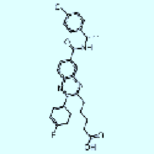 C[C@H](NC(=O)c1ccc2nc(C3=CC=C(F)CC3)c(CCCCC(=O)O)nc2c1)c1ccc(Cl)cc1